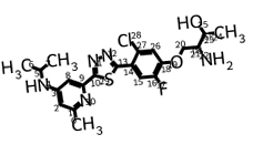 Cc1cc(NC(C)C)cc(-c2nnc(-c3cc(F)c(OC[C@H](N)[C@H](C)O)cc3Cl)s2)n1